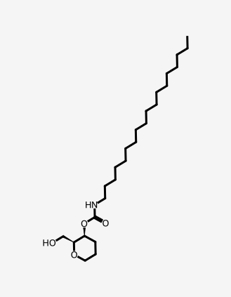 CCCCCCCCCCCCCCCCCCNC(=O)O[C@H]1CCCO[C@H]1CO